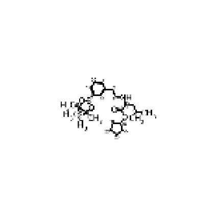 CC(C)C[C@H](NCCc1cccc(B2OC(C)(C)C(C)(C)O2)c1)C(=O)OC1CCCC1